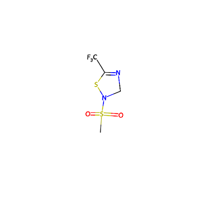 CS(=O)(=O)N1CN=C(C(F)(F)F)S1